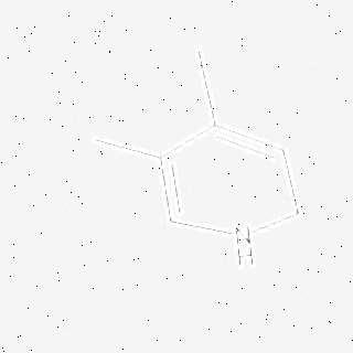 CC1=CCNC=C1C